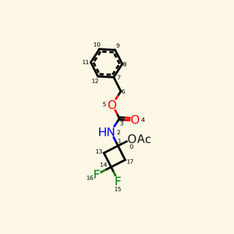 CC(=O)OC1(NC(=O)OCc2ccccc2)CC(F)(F)C1